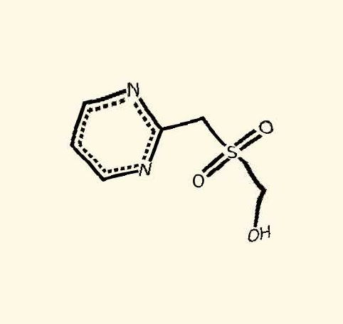 O=S(=O)(CO)Cc1ncccn1